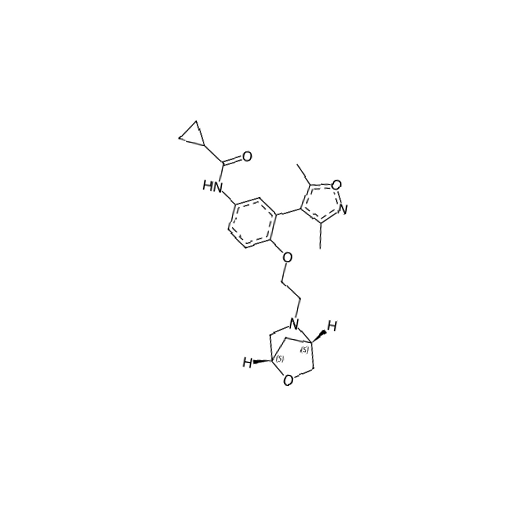 Cc1noc(C)c1-c1cc(NC(=O)C2CC2)ccc1OCCN1C[C@@H]2C[C@H]1CO2